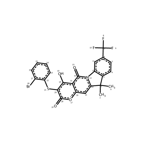 CC1(C)c2ccc(C(F)(F)F)cc2-n2c1cc1oc(=O)c(Sc3ccccc3Br)c(O)c1c2=O